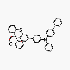 c1ccc(-c2ccc(N(c3ccccc3)c3ccc(-c4ccc5c(c4)Sc4ccccc4C54c5ccccc5Oc5ccccc54)cc3)cc2)cc1